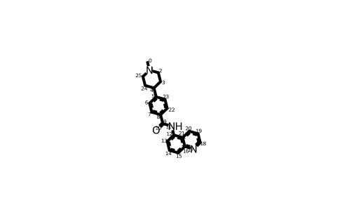 CN1CCC(c2ccc(C(=O)Nc3cccc4ncccc34)cc2)CC1